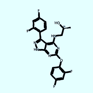 C[C@H](O)CNc1nc(Oc2ccc(F)cc2F)nc2[nH]nc(-c3ccc(F)cc3F)c12